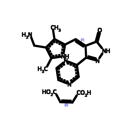 Cc1[nH]c(/C=C2/C(=O)NN=C2c2cnccn2)c(C)c1CN.O=C(O)/C=C\C(=O)O